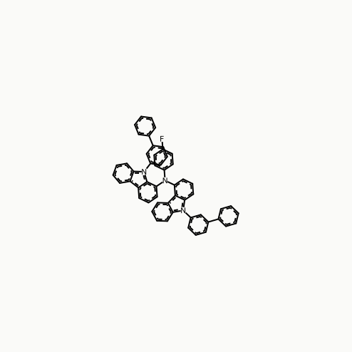 Fc1ccc(N(c2cccc3c2c2ccccc2n3-c2cccc(-c3ccccc3)c2)c2cccc3c4ccccc4n(-c4cccc(-c5ccccc5)c4)c23)cc1